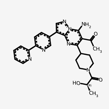 CC(=O)c1c(C2CCN(C(=O)[C@@H](C)O)CC2)nc2c(-c3ccc(-c4ccccn4)nc3)cnn2c1N